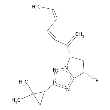 C=C(/C=C\C=C/C)[C@@H]1C[C@H](F)c2nc(C3CC3(C)C)nn21